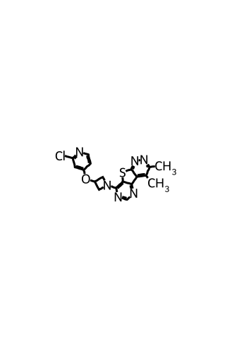 Cc1nnc2sc3c(N4CC(Oc5ccnc(Cl)c5)C4)ncnc3c2c1C